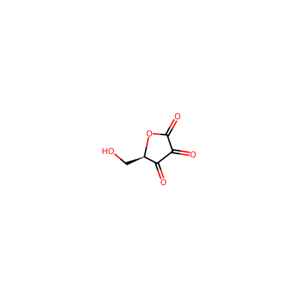 O=C1O[C@H](CO)C(=O)C1=O